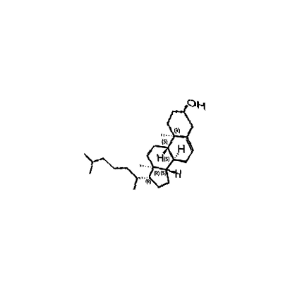 CC(C)CCCC(C)[C@H]1CC[C@H]2[C@@H]3CC=C4CC(O)CC[C@]4(C)[C@H]3CC[C@]12C